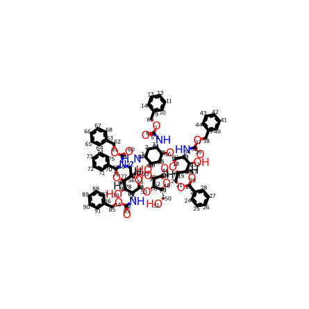 N[C@@H]1C[C@H](NC(=O)OCc2ccccc2)[C@@H](O[C@H]2O[C@@H]3COC(c4ccccc4)O[C@H]3[C@H](O)[C@H]2NC(=O)OCc2ccccc2)[C@H](O[C@@H]2O[C@H](CO)[C@@H](O[C@H]3O[C@H]4CN(C(=O)OCc5ccccc5)C(c5ccccc5)O[C@H]4[C@H](O)[C@H]3NC(=O)OCc3ccccc3)[C@H]2O)[C@H]1O